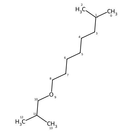 C[C](C)CCCCCCOCC(C)C